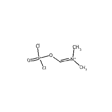 C[N+](C)=COP(=O)(Cl)Cl